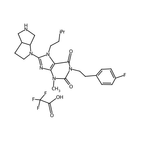 CC(C)CCn1c(N2CCC3CNCC32)nc2c1c(=O)n(CCc1ccc(F)cc1)c(=O)n2C.O=C(O)C(F)(F)F